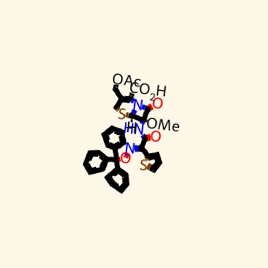 CO[C@]1(NC(=O)C(=NOC(c2ccccc2)(c2ccccc2)c2ccccc2)c2cccs2)C(=O)N2C(C(=O)O)=C(COC(C)=O)CS[C@@H]21